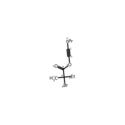 CCCC#COC(=O)C(C)(Br)CC